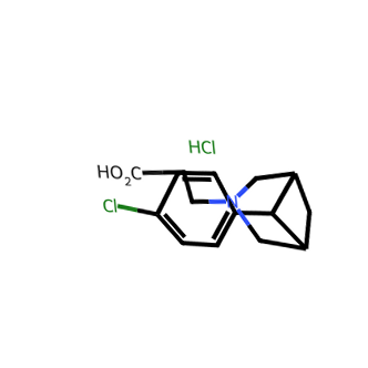 Cl.O=C(O)CCN1CC2CC(C1)C2c1ccc(Cl)cc1